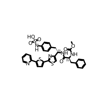 COC(=O)N[C@@H](Cc1ccccc1)C(=O)N[C@@H](Cc1ccc(NS(=O)(=O)O)cc1)c1csc(-c2ccc(-c3ccccn3)s2)n1